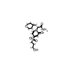 NC(=O)[C@@H](CC1CCOCC1)n1ccc(S(=O)(=O)CCCO)cc1=O